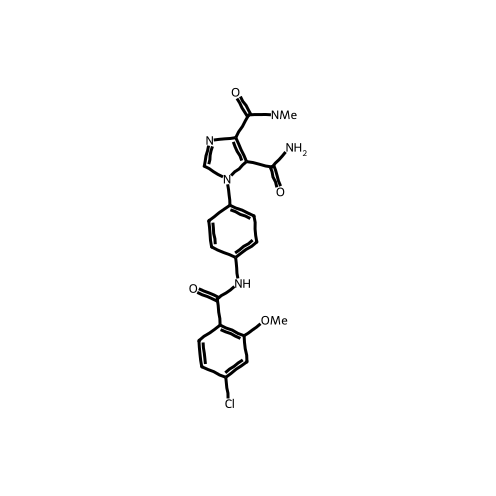 CNC(=O)c1ncn(-c2ccc(NC(=O)c3ccc(Cl)cc3OC)cc2)c1C(N)=O